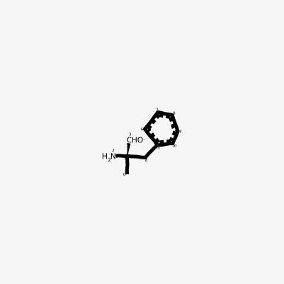 C[C@@](N)([C]=O)Cc1ccccc1